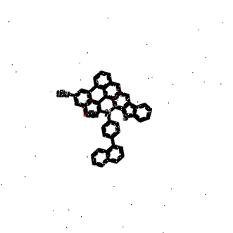 CC(C)(C)c1cc(-c2cccc3cccc(-c4ccccc4N(c4ccc(-c5cccc6ccccc56)cc4)c4cccc5c4sc4ccccc45)c23)cc(C(C)(C)C)c1